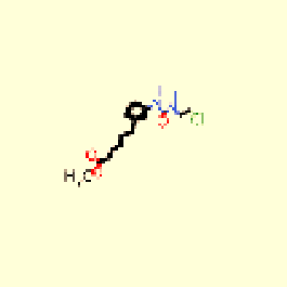 COC(=O)CCCCCc1cccc(NC(=O)NCCCl)c1